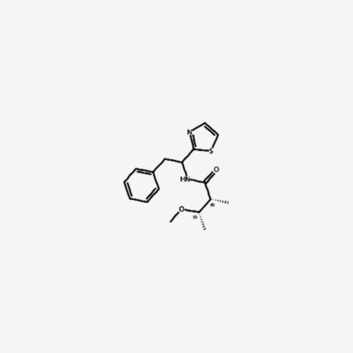 CO[C@@H](C)[C@@H](C)C(=O)NC(Cc1ccccc1)c1nccs1